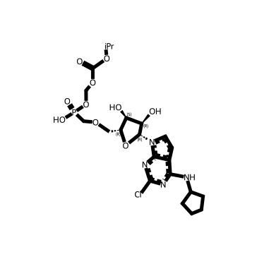 CC(C)OC(=O)OCOP(=O)(O)COC[C@H]1O[C@@H](n2ccc3c(NC4CCCC4)nc(Cl)nc32)[C@H](O)[C@@H]1O